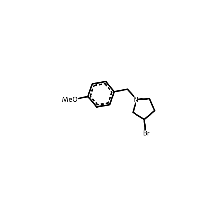 COc1ccc(CN2CCC(Br)C2)cc1